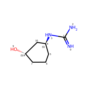 N=C(N)N[C@H]1CCC[C@H](O)C1